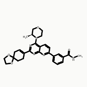 CNC(=O)c1cccc(-c2ccc3c(N4CCOC[C@@H]4C)nc(C4=CCC5(CC4)OCCO5)nc3n2)c1